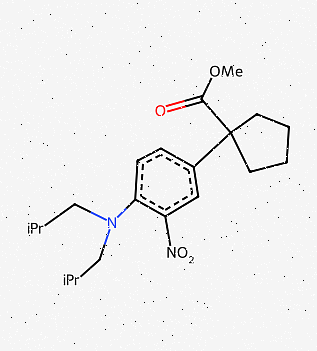 COC(=O)C1(c2ccc(N(CC(C)C)CC(C)C)c([N+](=O)[O-])c2)CCCC1